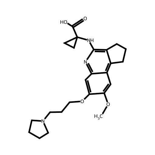 COc1cc2c3c(c(NC4(C(=O)O)CC4)nc2cc1OCCCN1CCCC1)CCC3